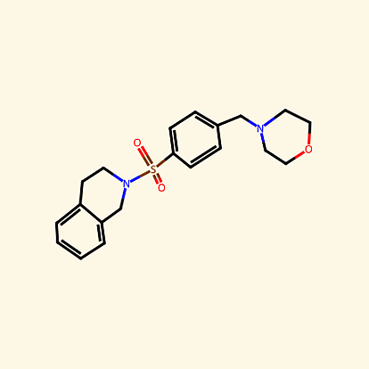 O=S(=O)(c1ccc(CN2CCOCC2)cc1)N1CCc2ccccc2C1